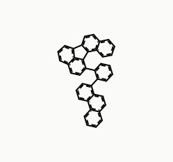 c1ccc(-c2cccc3c2ccc2ccccc23)c(-c2ccc3cccc4c3c2-c2c-4ccc3ccccc23)c1